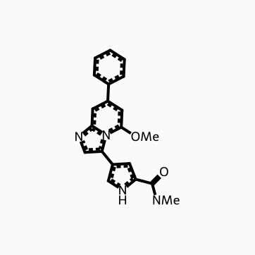 CNC(=O)c1cc(-c2cnc3cc(-c4ccccc4)cc(OC)n23)c[nH]1